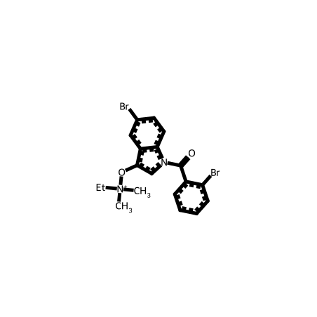 CC[N+](C)(C)Oc1cn(C(=O)c2ccccc2Br)c2ccc(Br)cc12